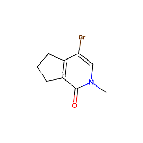 Cn1cc(Br)c2c(c1=O)CCC2